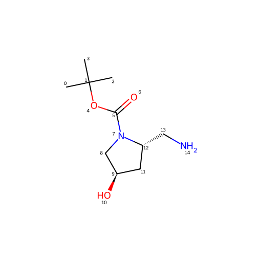 CC(C)(C)OC(=O)N1C[C@H](O)C[C@H]1CN